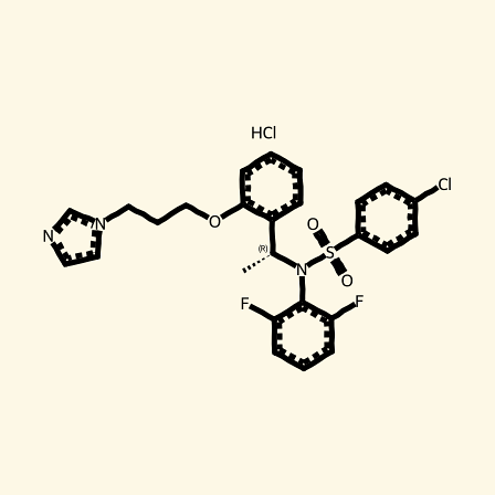 C[C@H](c1ccccc1OCCCn1ccnc1)N(c1c(F)cccc1F)S(=O)(=O)c1ccc(Cl)cc1.Cl